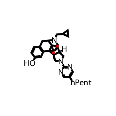 CCCCCc1cnc(N2C[C@H]3CC45CCC2C3C42CCN(CC3CC3)C5Cc3ccc(O)cc32)nc1